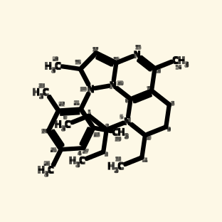 CCC(CC)N1C2=C(CCC1CC)C(C)=NC1=CC(C)N(c3c(C)cc(C)cc3C)N12